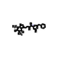 Cn1c(=O)c2c(ncn2CCNC(=O)/C(C=N)=C/NCc2ccccc2)n(C)c1=O